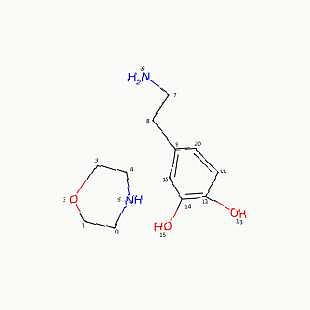 C1COCCN1.NCCc1ccc(O)c(O)c1